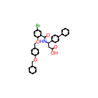 O=C(O)CC(NC(=O)c1cc(Br)ccc1OCc1ccc(OCc2ccccc2)cc1)c1ccc(-c2ccccc2)cc1